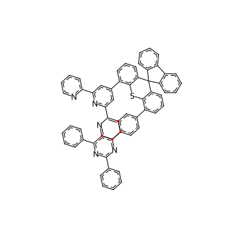 C1=NC(c2cc(-c3cccc4c3Sc3c(-c5ccc(-c6cc(-c7ccccc7)nc(-c7ccccc7)n6)cc5)cccc3C43c4ccccc4-c4ccccc43)cc(-c3ccccn3)n2)=CCC1